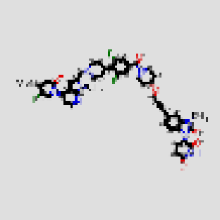 CNc1cc(=O)n(-c2ccnc3c2cc(CN2CCC(c4c(F)cc(C(=O)N5CCC(OCC#Cc6ccc7c(c6)n(C)c(=O)n7C6CCC(=O)NC6=O)CC5)cc4F)CC2)n3C)cc1F